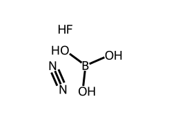 F.N#N.OB(O)O